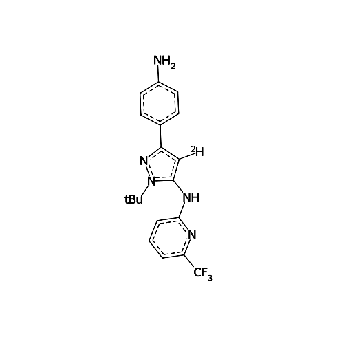 [2H]c1c(-c2ccc(N)cc2)nn(C(C)(C)C)c1Nc1cccc(C(F)(F)F)n1